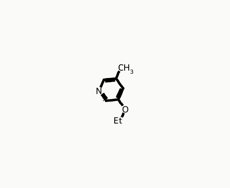 CCOc1[c]ncc(C)c1